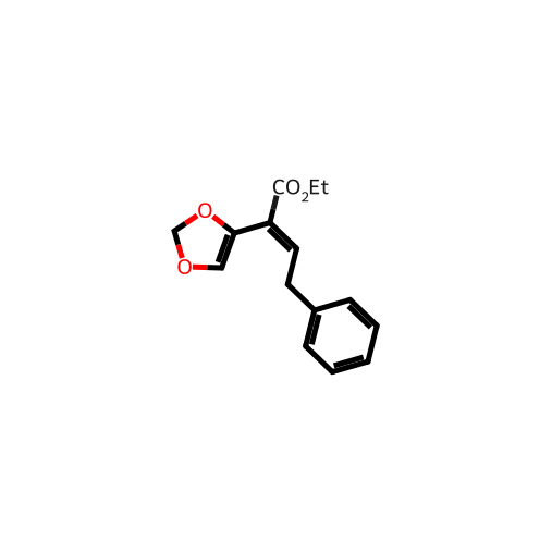 CCOC(=O)C(=CCc1ccccc1)C1=COCO1